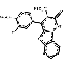 CCOC(=O)c1c(-c2ccc(OC)c(F)c2)c2oc3ccccc3c2[nH]c1=O